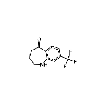 O=C1CCCNc2cc(C(F)(F)F)ccc21